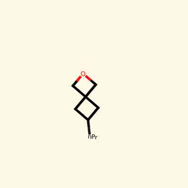 CCCC1CC2(COC2)C1